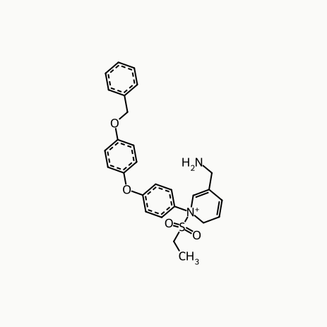 CCS(=O)(=O)[N+]1(c2ccc(Oc3ccc(OCc4ccccc4)cc3)cc2)C=C(CN)C=CC1